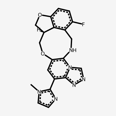 Cn1ccnc1-c1cc2c(n3cnnc13)NCc1c(F)ccc3c1[C@@H](CO3)CO2